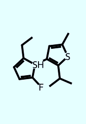 CCC1=CC=C(F)[SH]1c1cc(C)sc1C(C)C